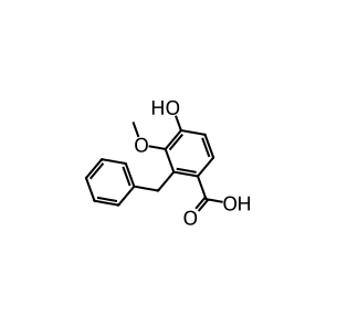 COc1c(O)ccc(C(=O)O)c1Cc1ccccc1